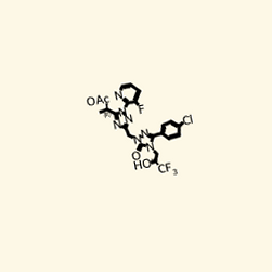 CC(=O)O[C@H](C)c1nc(Cn2nc(-c3ccc(Cl)cc3)n(C[C@H](O)C(F)(F)F)c2=O)nn1-c1ncccc1F